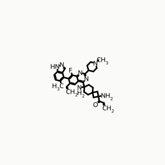 C=CC(=O)C1(N)CC2(CCC(N)(c3nc(C4CCN(C)CC4)nc4c(F)c(-c5c(C)ccc6[nH]ncc56)c(C=C)cc34)CC2)C1